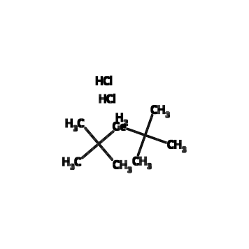 C[C](C)(C)[GeH2][C](C)(C)C.Cl.Cl